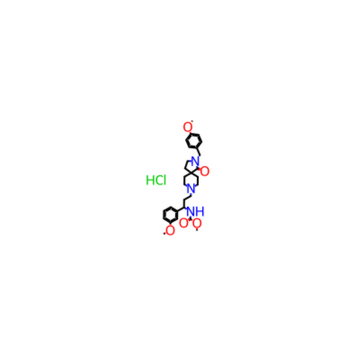 COC(=O)NC(CCN1CCC2(CC1)CCN(Cc1ccc(OC)cc1)C2=O)c1cccc(OC)c1.Cl